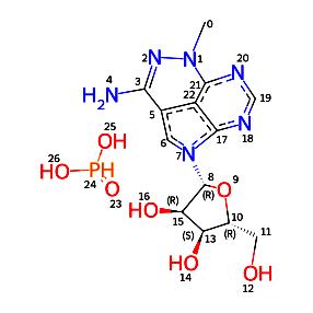 CN1N=C(N)c2cn([C@@H]3O[C@H](CO)[C@@H](O)[C@H]3O)c3ncnc1c23.O=[PH](O)O